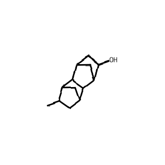 CC1CC2CC1C1C3CC(O)C(C3)C21